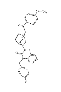 COc1ccc(C(=O)C[N+]23CCC(CC2)C(OC(=O)N(Cc2ccc(F)cc2)c2ccccc2F)C3)cc1